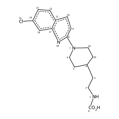 O=C(O)NCCC1CCN(c2ccc3ccc(Cl)cc3n2)CC1